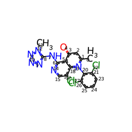 Cc1cc(=O)c2c(Nc3nnnn3C)ncc(Cl)c2n1-c1c(Cl)cccc1Cl